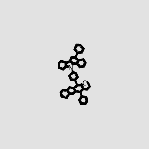 c1ccc(-c2c3ccccc3c(-c3ccc(-n4c5ccccc5c5cc(-c6ccccc6)c6ccccc6c54)cc3)c3cc4ccccc4cc23)cc1